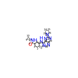 Cc1ccc(C(=O)NC2CC2)cc1Nc1ncnc2cnc(N3CCCC3)nc12